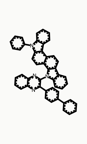 c1ccc(-c2ccc(-c3nc4ccccc4nc3-n3c4ccccc4c4ccc5c(ccc6c5c5ccccc5n6-c5ccccc5)c43)cc2)cc1